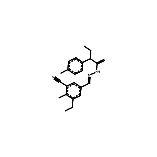 C=C(N/N=C/c1cc(C#N)c(C)c(CC)c1)C(CC)c1ccc(C)cc1